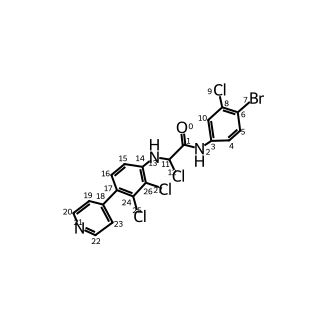 O=C(Nc1ccc(Br)c(Cl)c1)C(Cl)Nc1ccc(-c2ccncc2)c(Cl)c1Cl